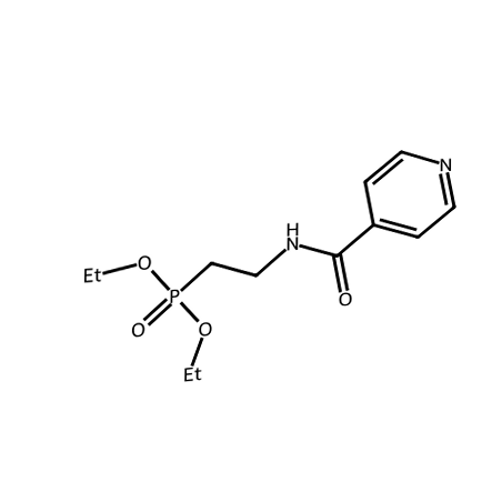 CCOP(=O)(CCNC(=O)c1ccncc1)OCC